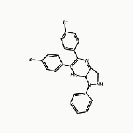 Brc1ccc(C2=C(c3ccc(Br)cc3)NC3C(=N2)CNN3c2ccccc2)cc1